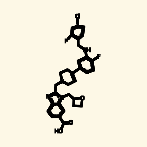 O=C(O)c1ccc2nc(CN3CC=C(c4ccc(F)c(NCc5ccc(Cl)cc5F)c4)CC3)n(CC3CCO3)c2c1